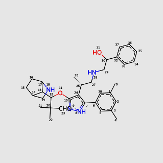 Cc1cc(C)cc(-c2[nH]nc(OC(C3C4CCC3NC4)C(C)(C)C=O)c2[C@H](C)CNCC(O)c2ccccc2)c1